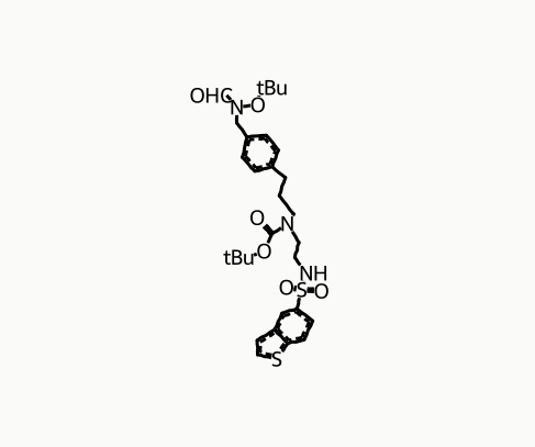 CC(C)(C)OC(=O)N(CCCc1ccc(CN(C=O)OC(C)(C)C)cc1)CCNS(=O)(=O)c1ccc2sccc2c1